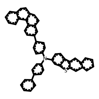 c1ccc(-c2ccc(N(c3ccc(-c4ccc5c(ccc6ccc7ccccc7c65)c4)cc3)c3ccc4c(c3)sc3cc5ccccc5cc34)cc2)cc1